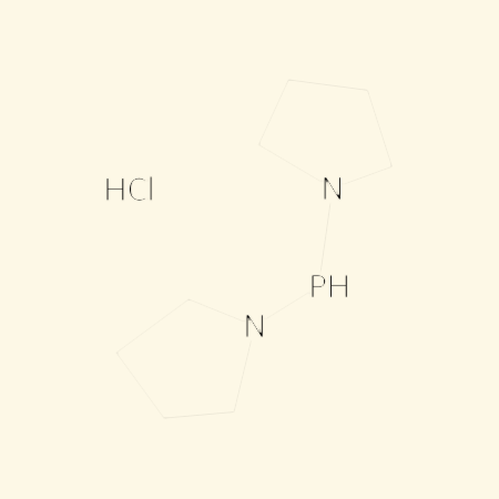 C1CCN(PN2CCCC2)C1.Cl